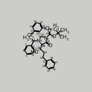 C[C@H](c1ccccc1)N1[C@H](c2c(Cl)cccc2Cl)N(C(=O)OC(C)(C)C)C(=O)[C@H]1[C@@H](O)CCc1ccccc1